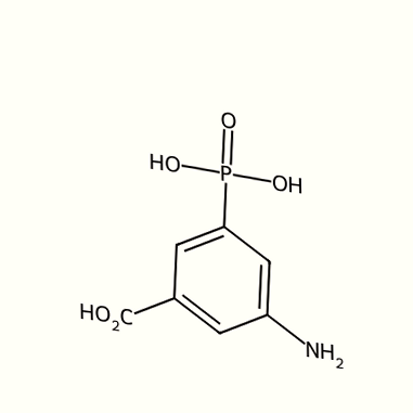 Nc1cc(C(=O)O)cc(P(=O)(O)O)c1